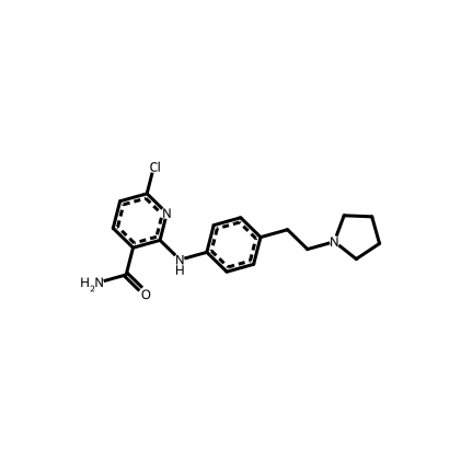 NC(=O)c1ccc(Cl)nc1Nc1ccc(CCN2CCCC2)cc1